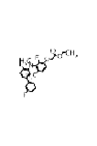 CCOC(=O)COc1ccc(C)c(N(C)c2cc(-c3cccc(F)c3)ccc2F)c1F